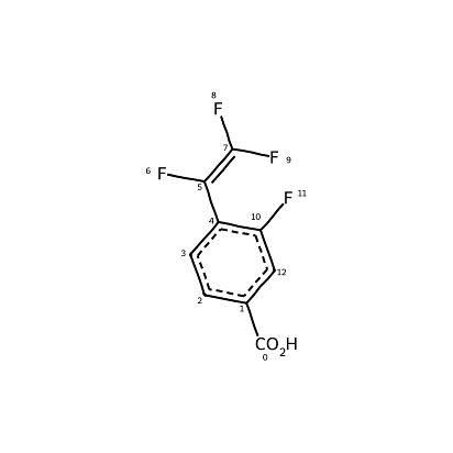 O=C(O)c1ccc(C(F)=C(F)F)c(F)c1